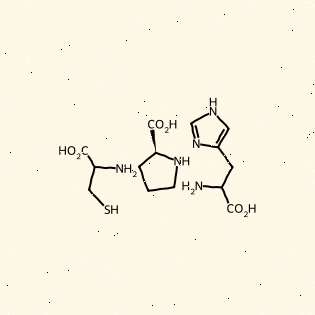 NC(CS)C(=O)O.NC(Cc1c[nH]cn1)C(=O)O.O=C(O)[C@@H]1CCCN1